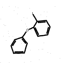 Ic1ccccc1Oc1[c]cccc1